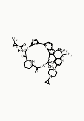 CCn1c(-c2cc(N3CCN(C4CC4)CC3)cnc2[C@H](C)OC)c2c3cc(ccc31)-c1csc(n1)C[C@H](NC(=O)[C@H]1CC1C(F)(F)F)C(=O)N1CCC[C@H](N1)C(=O)OCC(C)(C)C2